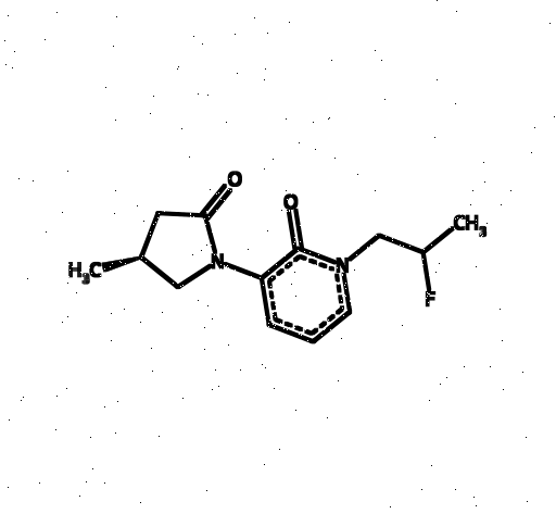 CC(F)Cn1cccc(N2C[C@@H](C)CC2=O)c1=O